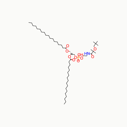 CCCCCCCCCCCCCCCCCC(=O)OC[C@H](COP(=O)(O)OCCNC(=O)C(C)(C)OCC(C)(C)C)OC(=O)CCCCCCCCCCCCCCCCC